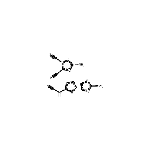 N#CNc1nccs1.N#Cc1nc(N)sc1C#N.Nc1nccs1